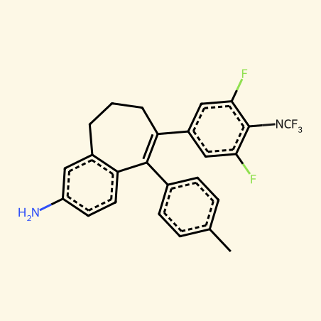 Cc1ccc(C2=C(c3cc(F)c(NC(F)(F)F)c(F)c3)CCCc3cc(N)ccc32)cc1